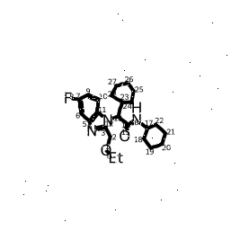 CCOCc1nc2cc(F)ccc2n1C(C(=O)NC1CCCCC1)C1CCCCC1